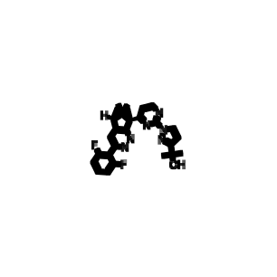 CC(C)(O)c1ccn(-c2nccc([C@@]34CC[C@@H](c5cc(-c6c(F)cccc6F)nnc53)C4(C)C)n2)n1